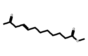 COC(=O)CCCCCCC=CCC(C)=O